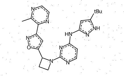 Cc1nccnc1-c1cc(C2CCN2c2nccc(Nc3cc(C(C)(C)C)[nH]n3)n2)on1